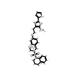 Cc1oc(-c2cccs2)nc1CCOc1ccc(CN(CC(=O)O)S(=O)(=O)N2CCCc3ccccc32)cc1